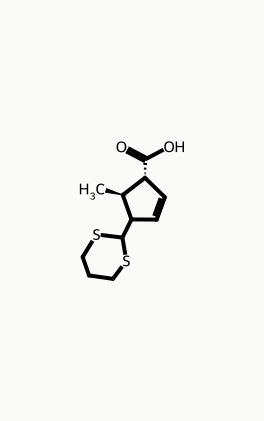 C[C@@H]1C(C2SCCCS2)C=C[C@H]1C(=O)O